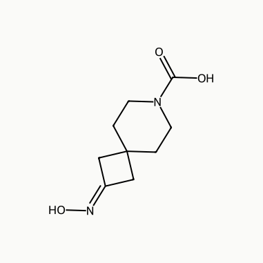 O=C(O)N1CCC2(CC1)CC(=NO)C2